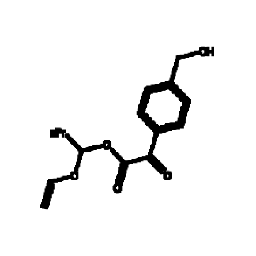 C=COC(CCC)OC(=O)C(=O)c1ccc(CO)cc1